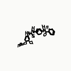 CCCCOc1ccc(NC(=S)Nc2ccc(NC(=O)c3ccccc3F)cc2)cc1Cl